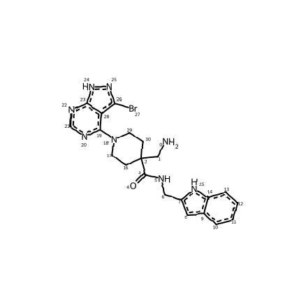 NCC1(C(=O)NCc2cc3ccccc3[nH]2)CCN(c2ncnc3[nH]nc(Br)c23)CC1